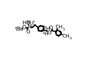 [2H]C([2H])(OC(=O)c1ccc(C)cc1C)c1ccc([C@@H](CNC(=O)OC(C)(C)C)C(=O)O)cc1